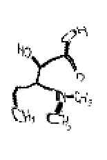 CCC(C(O)C(=O)O)N(C)C